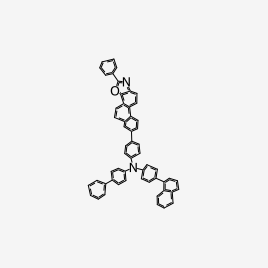 c1ccc(-c2ccc(N(c3ccc(-c4ccc5c(ccc6c5ccc5nc(-c7ccccc7)oc56)c4)cc3)c3ccc(-c4cccc5ccccc45)cc3)cc2)cc1